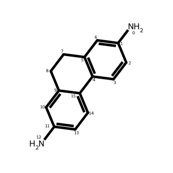 Nc1ccc2c(c1)CCc1cc(N)ccc1-2